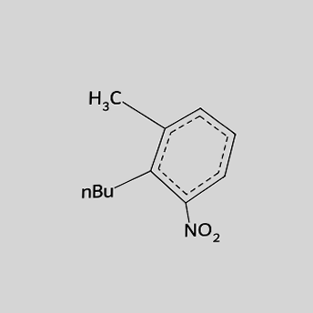 CCCCc1c(C)cccc1[N+](=O)[O-]